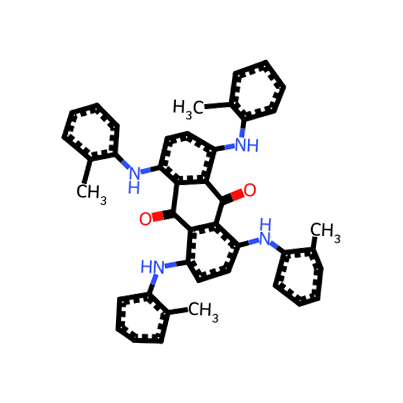 Cc1ccccc1Nc1ccc(Nc2ccccc2C)c2c1C(=O)c1c(Nc3ccccc3C)ccc(Nc3ccccc3C)c1C2=O